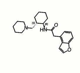 O=C(Cc1cccc2occc12)N[C@@H]1CCCC[C@H]1CN1CCCCC1